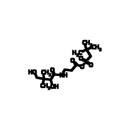 CC(C)(C)CS(=O)(=O)OC(=O)CCNC(=O)C(O)C(C)(C)CO